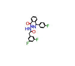 O=C(Cc1cc(F)cc(F)c1)Nn1nc(-c2ccc(F)cc2)c2ccccc2c1=O